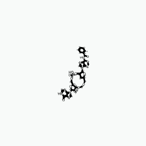 O=C(Nc1ncnc2c1ncn2C1OC2COCO[C@@H]3C(COP(=O)(O)O[C@@H]1C2)OC(n1cnc2c(=O)[nH]cnc21)[C@@H]3F)c1ccccc1